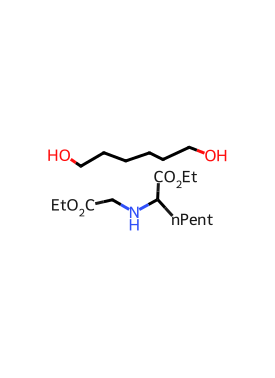 CCCCCC(NCC(=O)OCC)C(=O)OCC.OCCCCCCO